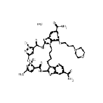 CCn1nc(C)cc1C(=O)Nc1nc2cc(C(N)=O)cnc2n1CCCCn1c(NC(=O)c2cc(C)nn2CC)nc2cc(C(N)=O)cc(OCCCN3CCOCC3)c21.Cl